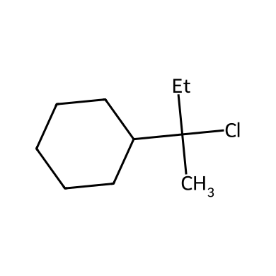 CCC(C)(Cl)C1CCCCC1